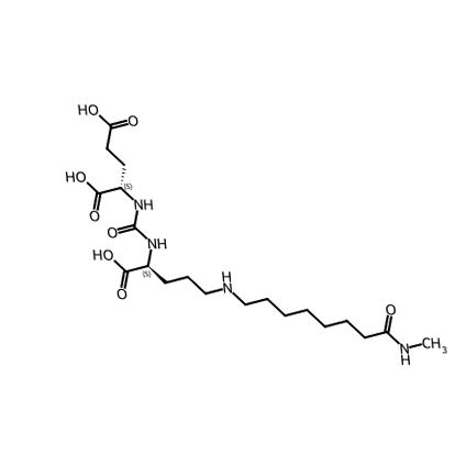 CNC(=O)CCCCCCCNCCC[C@H](NC(=O)N[C@@H](CCC(=O)O)C(=O)O)C(=O)O